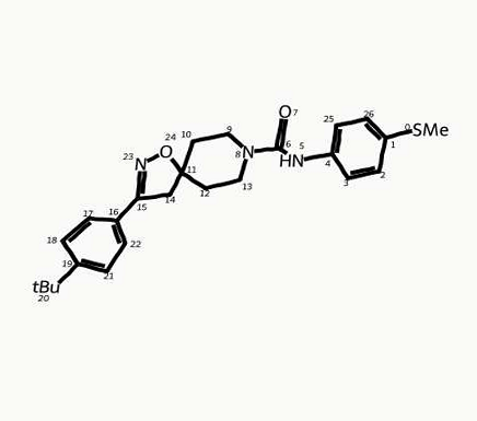 CSc1ccc(NC(=O)N2CCC3(CC2)CC(c2ccc(C(C)(C)C)cc2)=NO3)cc1